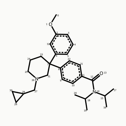 COc1cccc(C2(c3ccc(C(=O)N(C(C)C)C(C)C)cc3)CCCN(CC3CC3)C2)c1